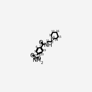 NS(=O)(=O)c1ccc(C(=O)NCCN2CCCCC2)cc1